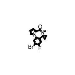 CN1C(=O)c2cccn2-c2cc(Br)c(F)cc2C12CC2